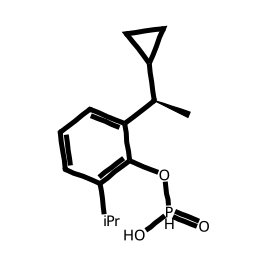 CC(C)c1cccc([C@H](C)C2CC2)c1O[PH](=O)O